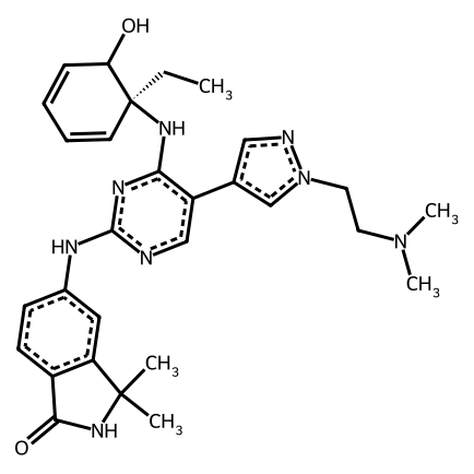 CC[C@]1(Nc2nc(Nc3ccc4c(c3)C(C)(C)NC4=O)ncc2-c2cnn(CCN(C)C)c2)C=CC=CC1O